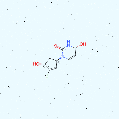 O=C1NC(O)C=CN1[C@H]1C=C(F)[C@H](O)C1